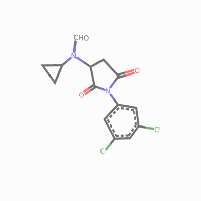 O=CN(C1CC1)C1CC(=O)N(c2cc(Cl)cc(Cl)c2)C1=O